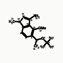 [2H]C([2H])([2H])OC(c1ccc2c(c(N)nn2C)c1OC)C(F)(F)F